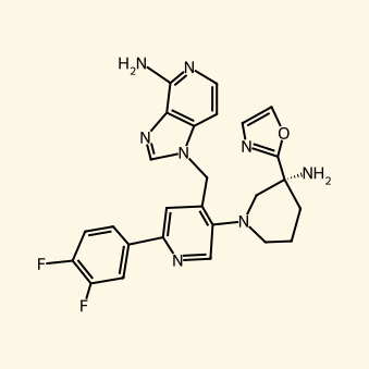 Nc1nccc2c1ncn2Cc1cc(-c2ccc(F)c(F)c2)ncc1N1CCC[C@](N)(c2ncco2)C1